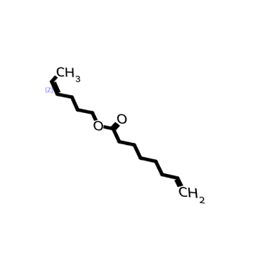 C=CCCCCCC(=O)OCCC/C=C\C